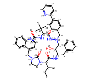 CC[C@H](C)[C@@H](C(=O)N[C@@H](Cc1ccccc1)[C@@H](O)CN(Cc1ccc(-c2ccccn2)cc1)NC(=O)[C@@H](NC(C)=O)C(C)(C)C)N1CCN(Cc2ccnc3ccccc23)C1=O